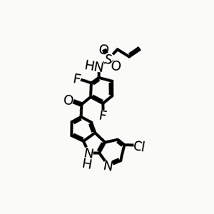 C=CCS(=O)(=O)Nc1ccc(F)c(C(=O)c2ccc3[nH]c4ncc(Cl)cc4c3c2)c1F